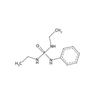 CCNP(=O)(NCC)Nc1ccccc1